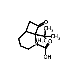 CC(C)(C)C12C(=O)CC1CCCN2C(=O)O